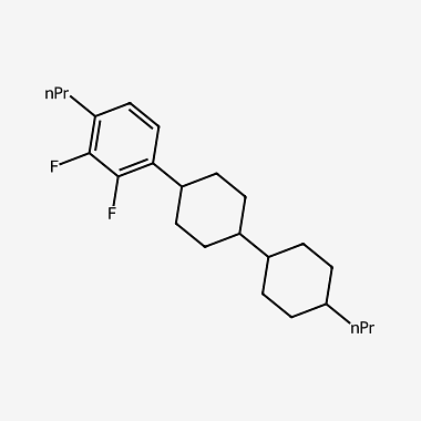 CCCc1ccc(C2CCC(C3CCC(CCC)CC3)CC2)c(F)c1F